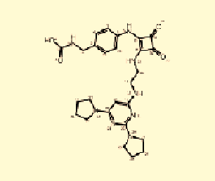 O=C(O)NCc1ccc(Nc2c(NCCNc3cc(N4CCCC4)nc(N4CCCC4)n3)c(=O)c2=O)cc1